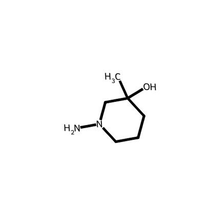 CC1(O)CCCN(N)C1